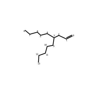 C=CCC(CCCCC)CCCCC